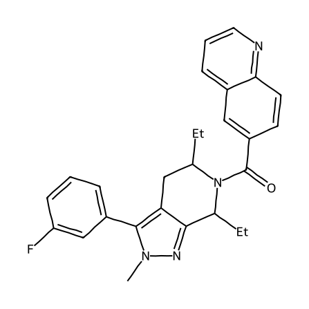 CCC1Cc2c(nn(C)c2-c2cccc(F)c2)C(CC)N1C(=O)c1ccc2ncccc2c1